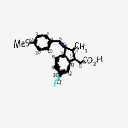 CSc1ccc(/C=C2\c3ccc(F)cc3C(CC(=O)O)C2C)cc1